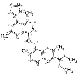 CCN(CC)C(=O)N(C)Cc1cncc(Cl)c1COc1cccc2c(-c3ccnn3C)cc(C)nc12